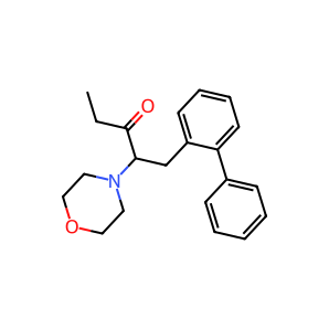 CCC(=O)C(Cc1ccccc1-c1ccccc1)N1CCOCC1